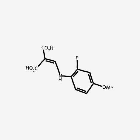 COc1ccc(NC=C(C(=O)O)C(=O)O)c(F)c1